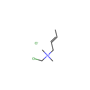 CC=CC[N+](C)(C)CCl.[Cl-]